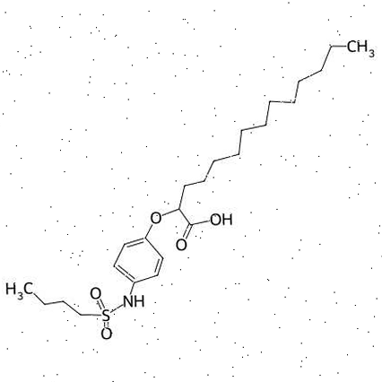 CCCCCCCCCCCCC(Oc1ccc(NS(=O)(=O)CCCC)cc1)C(=O)O